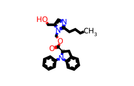 CCCCc1ncc(CO)n1COC(=O)[C@H]1Cc2ccccc2N1c1ccccc1